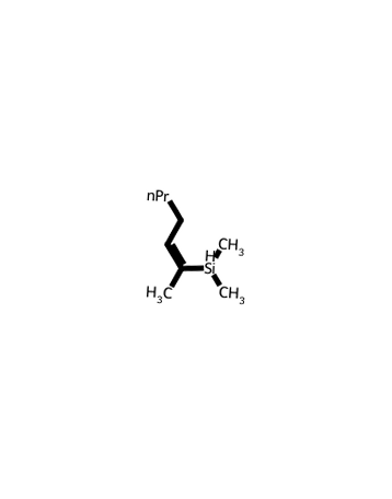 CCCCC=C(C)[SiH](C)C